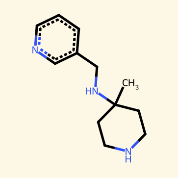 CC1(NCc2cccnc2)CCNCC1